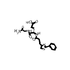 NC(=O)CNC(=O)[C@H](CCC(=O)O)NC(=O)CCc1csc(-c2ccccc2)n1